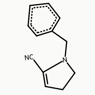 N#CC1=CCCN1Cc1ccccc1